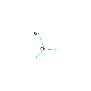 [F][Ce]([F])[F].[Sc]